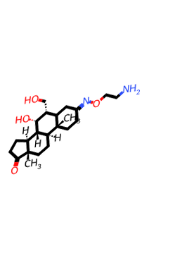 C[C@]12CCC(=NOCCN)CC1[C@@H](CO)[C@@H](O)[C@@H]1[C@@H]2CC[C@]2(C)C(=O)CC[C@@H]12